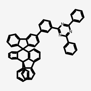 c1ccc(-c2nc(-c3ccccc3)nc(-c3cccc(-c4ccc5c(c4)-c4ccccc4C54c5ccccc5C5(c6ccccc6)c6ccccc6-c6cccc4c65)c3)n2)cc1